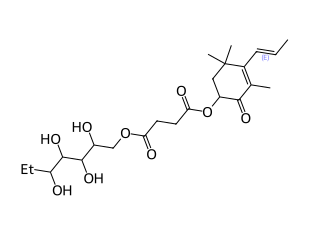 C/C=C/C1=C(C)C(=O)C(OC(=O)CCC(=O)OCC(O)C(O)C(O)C(O)CC)CC1(C)C